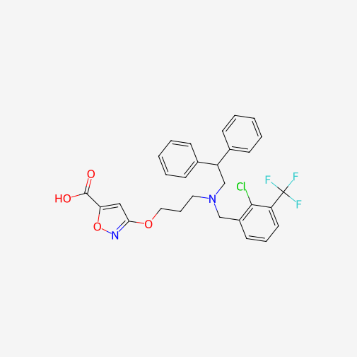 O=C(O)c1cc(OCCCN(Cc2cccc(C(F)(F)F)c2Cl)CC(c2ccccc2)c2ccccc2)no1